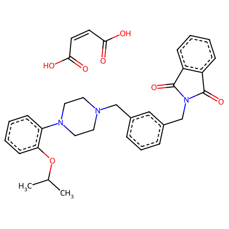 CC(C)Oc1ccccc1N1CCN(Cc2cccc(CN3C(=O)c4ccccc4C3=O)c2)CC1.O=C(O)/C=C\C(=O)O